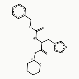 O=C(NC(Cn1ccnc1)C(=O)O[C@H]1CCCCO1)OCc1ccccc1